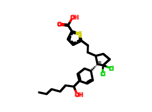 CCCCCC(O)C1=CCC([C@@H]2C(CCc3ccc(C(=O)O)s3)CCC2(Cl)Cl)C=C1